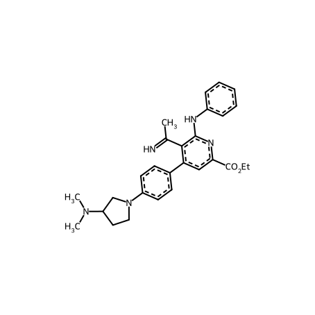 CCOC(=O)c1cc(-c2ccc(N3CCC(N(C)C)C3)cc2)c(C(C)=N)c(Nc2ccccc2)n1